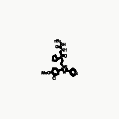 CCCCNC(=O)NCC(=O)N(CCn1nc(-c2ccncc2)nc1-c1ccc(OC)c(Cl)c1)C1CCCC1